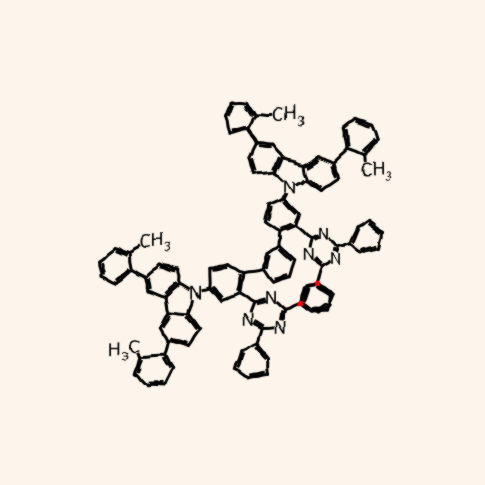 Cc1ccccc1-c1ccc2c(c1)c1cc(-c3ccccc3C)ccc1n2-c1ccc(-c2cccc(-c3ccc(-n4c5ccc(-c6ccccc6C)cc5c5cc(-c6ccccc6C)ccc54)cc3-c3nc(-c4ccccc4)nc(-c4ccccc4)n3)c2)c(-c2nc(-c3ccccc3)nc(-c3ccccc3)n2)c1